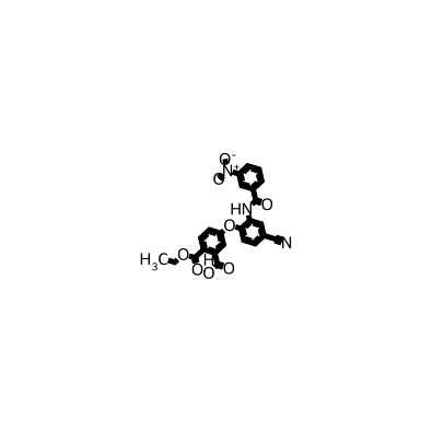 CCOC(=O)c1ccc(Oc2ccc(C#N)cc2NC(=O)c2cccc([N+](=O)[O-])c2)cc1C(=O)O